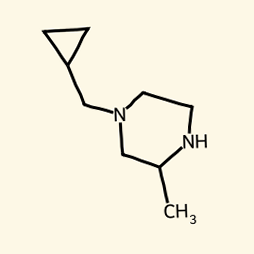 CC1CN(CC2CC2)CCN1